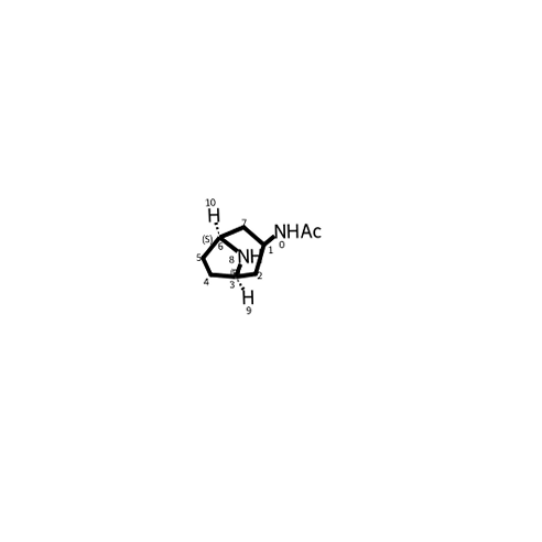 CC(=O)NC1C[C@H]2CC[C@@H](C1)N2